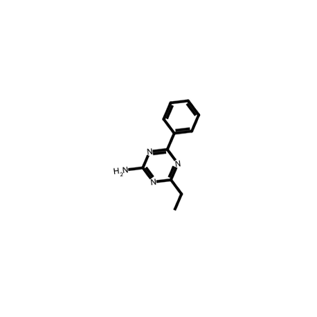 CCc1nc(N)nc(-c2ccccc2)n1